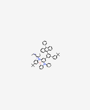 C/C=C\C=C(/CC)N1c2ccc(C(C)(C)C)cc2B2c3ccccc3N(C3=CCCC=C3)c3cc(-c4cc(-c5cccc(C(C)(C)C)c5)cc(-c5c6ccccc6c(-c6ccccc6)c6ccccc56)c4)cc1c32